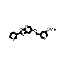 COc1cncc(COc2cnc3oc(-c4cccnc4)nc3c2)c1